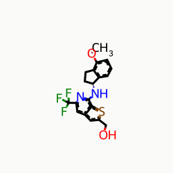 COc1cccc2c1CC[C@H]2Nc1nc(C(F)(F)F)cc2cc(CO)sc12